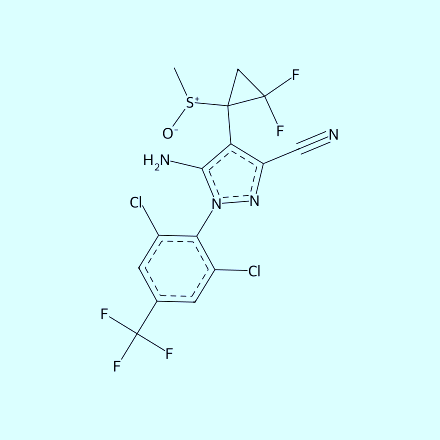 C[S+]([O-])C1(c2c(C#N)nn(-c3c(Cl)cc(C(F)(F)F)cc3Cl)c2N)CC1(F)F